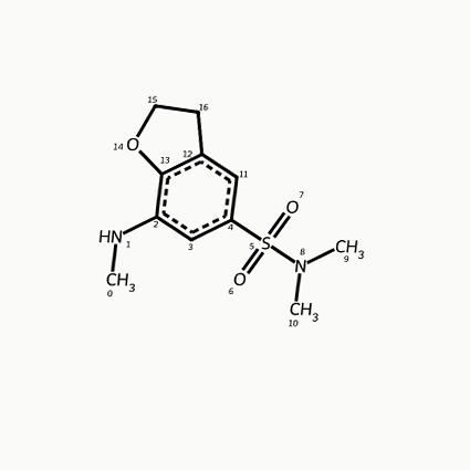 CNc1cc(S(=O)(=O)N(C)C)cc2c1OCC2